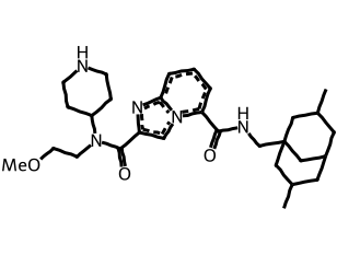 COCCN(C(=O)c1cn2c(C(=O)NCC34CC(C)CC(CC(C)C3)C4)cccc2n1)C1CCNCC1